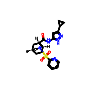 O=C(Nc1cc(C2CC2)n[nH]1)[C@@H]1C[C@@H]2CC[C@H]1N(S(=O)(=O)c1ccccn1)C2